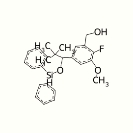 COc1cc(C(O[SiH](c2ccccc2)c2ccccc2)C(C)(C)C)cc(CO)c1F